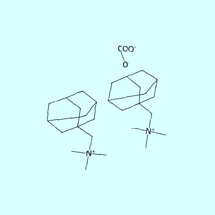 C[N+](C)(C)CC12CC3CC(CC(C3)C1)C2.C[N+](C)(C)CC12CC3CC(CC(C3)C1)C2.O=C([O-])[O-]